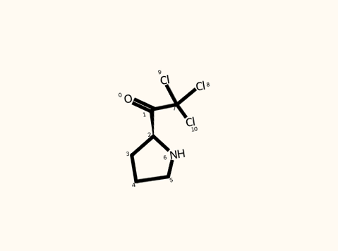 O=C([C@@H]1CCCN1)C(Cl)(Cl)Cl